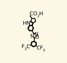 O=C(O)CC1CCc2c1[nH]c1ccc(-c3noc(-c4cc(C(F)(F)F)cc(C(F)(F)F)c4)n3)cc21